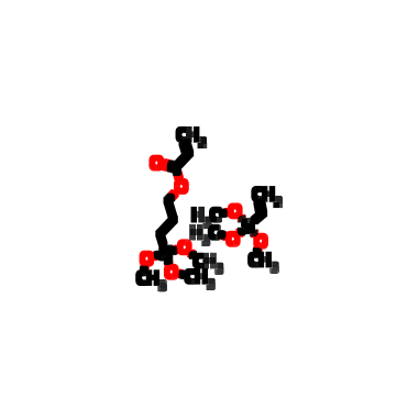 C=CC(=O)OCCC[Si](OC)(OC)OC.C=C[Si](OC)(OC)OC